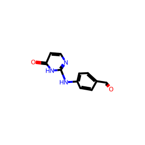 O=Cc1ccc(Nc2nccc(=O)[nH]2)cc1